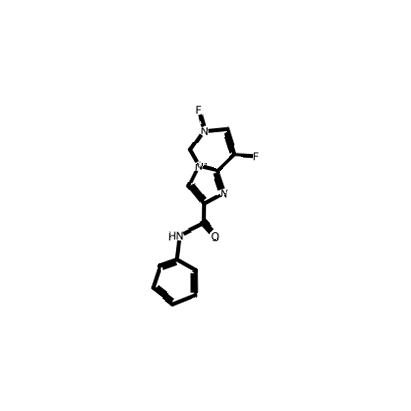 O=C(Nc1ccccc1)C1=C[N+]2CN(F)C=C(F)C2=N1